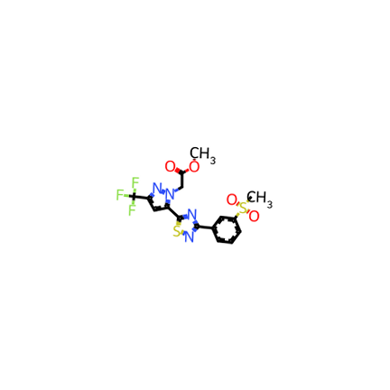 COC(=O)Cn1nc(C(F)(F)F)cc1-c1nc(-c2cccc(S(C)(=O)=O)c2)ns1